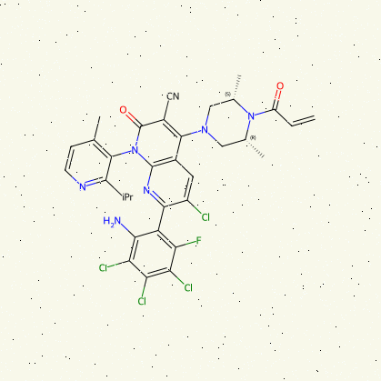 C=CC(=O)N1[C@H](C)CN(c2c(C#N)c(=O)n(-c3c(C)ccnc3C(C)C)c3nc(-c4c(N)c(Cl)c(Cl)c(Cl)c4F)c(Cl)cc23)C[C@@H]1C